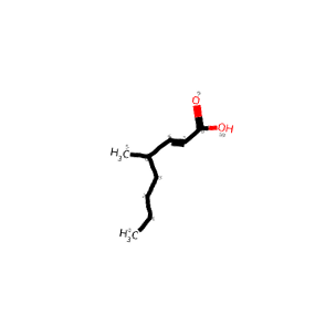 CCCCC(C)/C=C/C(=O)O